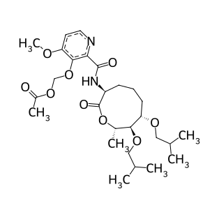 COc1ccnc(C(=O)N[C@H]2CCC[C@H](OCC(C)C)[C@@H](OCC(C)C)[C@H](C)OC2=O)c1OCOC(C)=O